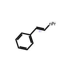 [CH2]CC/C=C/c1ccccc1